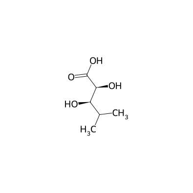 CC(C)[C@@H](O)[C@H](O)C(=O)O